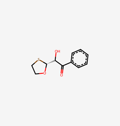 O=C(c1ccccc1)C(O)[C@@H]1OCCS1